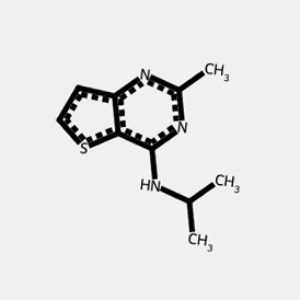 Cc1nc(NC(C)C)c2sccc2n1